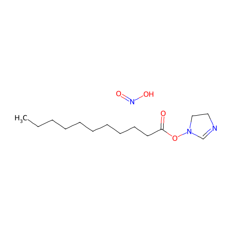 CCCCCCCCCCC(=O)ON1C=NCC1.O=NO